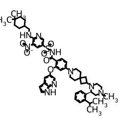 CC(C)c1ccccc1[C@@H]1CN(C)CCN1C1CC2(CCN(c3ccc(C(=O)NS(=O)(=O)c4cnc(NCC5CCC(C)(C)CC5)c([N+](=O)[O-])c4)c(Oc4cnc5[nH]ccc5c4)c3)CC2)C1